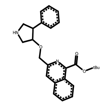 CC(C)(C)OC(=O)c1nc(COC2CNCC2c2ccccc2)cc2ccccc12